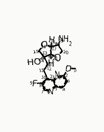 COc1ccc2ncc(F)c(CC[C@@]3(O)CO[C@@H]4[C@@H](N)CO[C@@H]43)c2n1